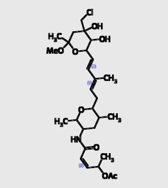 COC1(C)CC(O)(CCl)C(O)C(/C=C/C(C)=C/CC2OC(C)C(NC(=O)/C=C\C(C)OC(C)=O)CC2C)O1